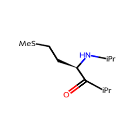 CSCC[C@@H](NC(C)C)C(=O)C(C)C